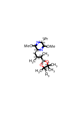 COC1=N[C@H](C(C)C)C(OC)=N[C@H]1C[C@H](C)C(C)B1OC(C)(C)C(C)(C)O1